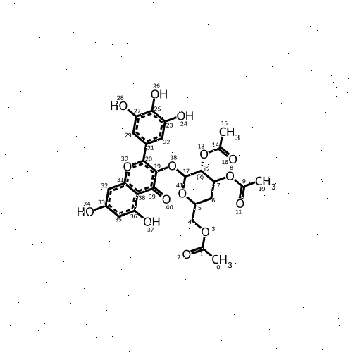 CC(=O)OCC1CC(OC(C)=O)[C@@H](OC(C)=O)C(Oc2c(-c3cc(O)c(O)c(O)c3)oc3cc(O)cc(O)c3c2=O)O1